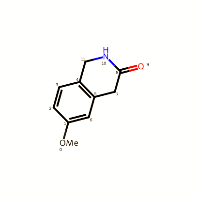 COc1ccc2c(c1)CC(=O)NC2